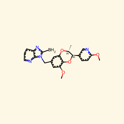 Bc1nc2cccnc2n1Cc1cc(OC)c2c(c1)O[C@H](C)[C@@H](c1ccc(OC)nc1)O2